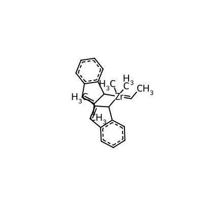 C[CH]=[Zr]([CH3])([CH3])([CH]1C(C)=Cc2ccccc21)[CH]1C(C)=Cc2ccccc21